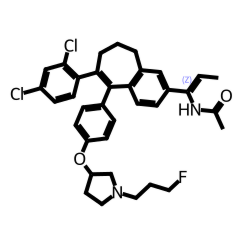 C/C=C(\NC(C)=O)c1ccc2c(c1)CCCC(c1ccc(Cl)cc1Cl)=C2c1ccc(OC2CCN(CCCF)C2)cc1